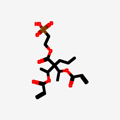 C=CC(=O)OC(C)C(CCC)(C(=O)OCCS(=O)(=O)O)C(C)OC(=O)C=C